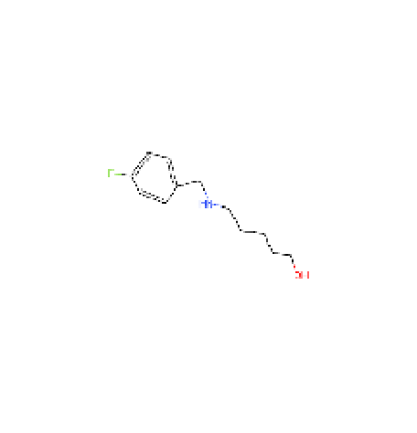 OCCCCCNCc1ccc(F)cc1